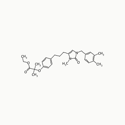 CCOC(=O)C(C)(C)Oc1ccc(CCCc2cn(Cc3ccc(C)c(C)c3)c(=O)n2C)cc1